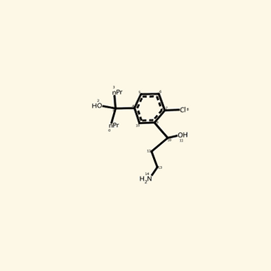 CCCC(O)(CCC)c1ccc(Cl)c(C(O)CCN)c1